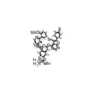 COc1ccccc1-c1nccc(COc2ccc(O[Si](C)(C)C(C)(C)C)cc2CC(Oc2ncnc3oc(-c4ccc(F)cc4)c(Br)c23)C(=O)O)n1